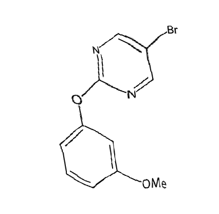 COc1cccc(Oc2ncc(Br)cn2)c1